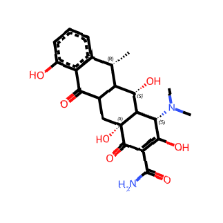 C[C@H]1c2cccc(O)c2C(=O)C2C[C@]3(O)C(=O)C(C(N)=O)=C(O)[C@@H](N(C)C)C3[C@@H](O)C21